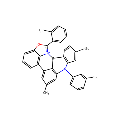 Cc1cc2c3c(c1)N(c1cccc(C(C)(C)C)c1)c1cc(C(C)(C)C)ccc1B3[n+]1c(-c3ccccc3C)oc3cccc-2c31